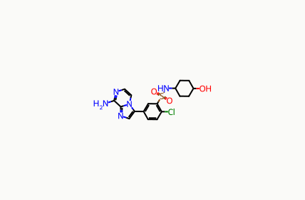 Nc1nccn2c(-c3ccc(Cl)c(S(=O)(=O)NC4CCC(O)CC4)c3)cnc12